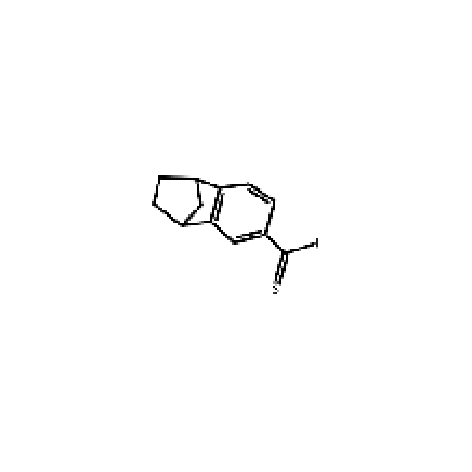 S=C(I)c1ccc2c(c1)C1CCC2C1